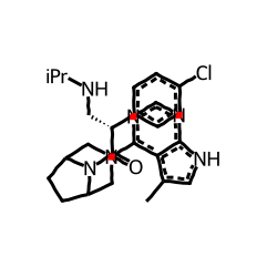 Cc1c[nH]c2ncnc(N3CC4CCC(C3)N4C(=O)[C@H](CNC(C)C)c3ccc(Cl)cc3)c12